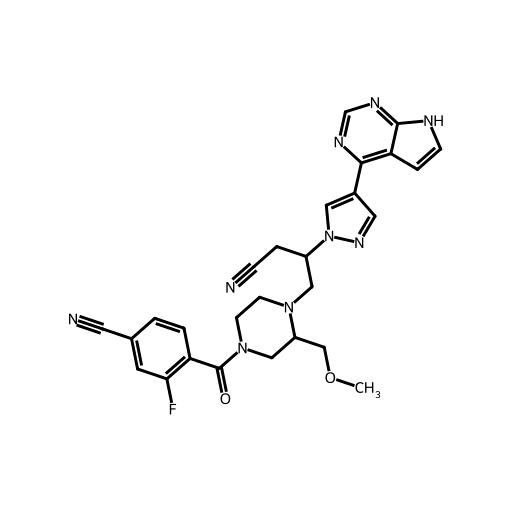 COCC1CN(C(=O)c2ccc(C#N)cc2F)CCN1CC(CC#N)n1cc(-c2ncnc3[nH]ccc23)cn1